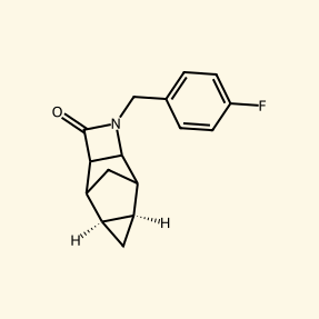 O=C1C2C3CC(C2N1Cc1ccc(F)cc1)[C@H]1C[C@@H]31